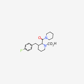 O=C(C1C(Cc2ccc(F)cc2)CCCN1C(=O)O)N1CCCCC1